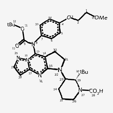 COCCOc1ccc(N(C(=O)OC(C)(C)C)c2c3c(nc4ccnn24)N(C2CCCN(C(=O)O)[C@H]2C(C)(C)C)CC3)cc1